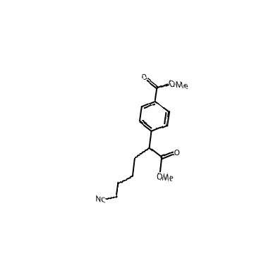 COC(=O)c1ccc(C(CCCCC#N)C(=O)OC)cc1